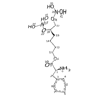 N[C@@H](Cc1ccccc1)C(=O)OCCCC[C@H](CON(O)O)ON(O)O